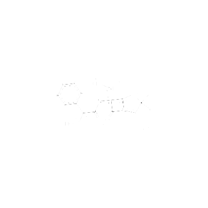 CC1(C)S[C@H]2N(C(=O)[C@@]2(NC=O)NC(=O)C(C(=O)O)c2ccccc2)[C@H]1C(=O)O